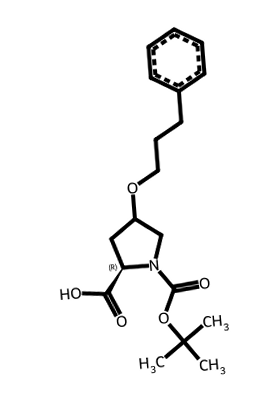 CC(C)(C)OC(=O)N1CC(OCCCc2ccccc2)C[C@@H]1C(=O)O